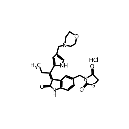 CCC(=C1C(=O)Nc2ccc(CN3C(=O)CSC3=O)cc21)c1cc(CN2CCOCC2)c[nH]1.Cl